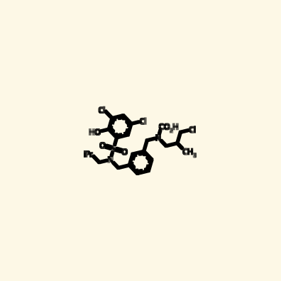 CC(C)CN(Cc1cccc(CN(CC(C)CCl)C(=O)O)c1)S(=O)(=O)c1cc(Cl)cc(Cl)c1O